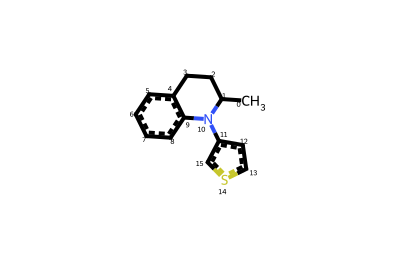 CC1CCc2ccccc2N1c1ccsc1